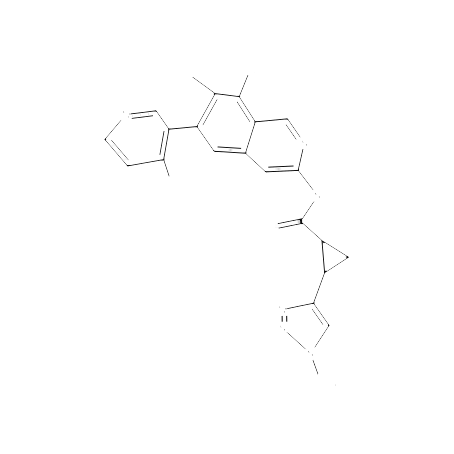 Cc1ccncc1-c1cc2cc(NC(=O)C3CC3c3cn(C)nn3)ncc2c(Cl)c1F